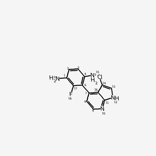 Nc1ccc(N)c(-c2ccnc3[nH]cc(Cl)c23)c1F